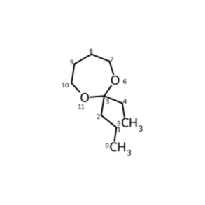 CCCC1(CC)OCCCCO1